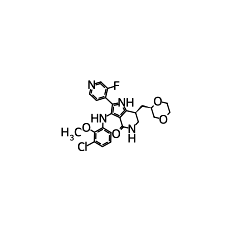 COc1c(Cl)cccc1Nc1c(-c2ccncc2F)[nH]c2c1C(=O)NC[C@@H]2C[C@@H]1COCCO1